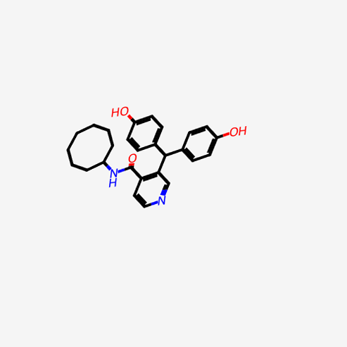 O=C(NC1CCCCCCC1)c1ccncc1C(c1ccc(O)cc1)c1ccc(O)cc1